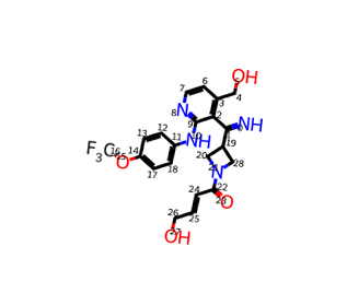 N=C(c1c(CO)ccnc1Nc1ccc(OC(F)(F)F)cc1)C1CN(C(=O)/C=C/CO)C1